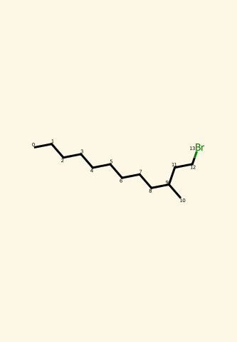 CCCCCCCCCC(C)CCBr